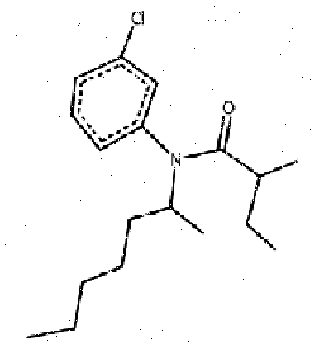 CCCCCC(C)N(C(=O)C(C)CC)c1cccc(Cl)c1